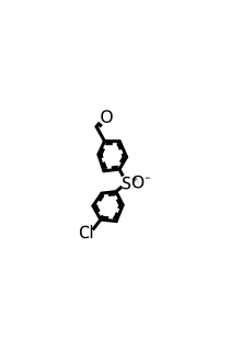 O=Cc1ccc([S+]([O-])c2ccc(Cl)cc2)cc1